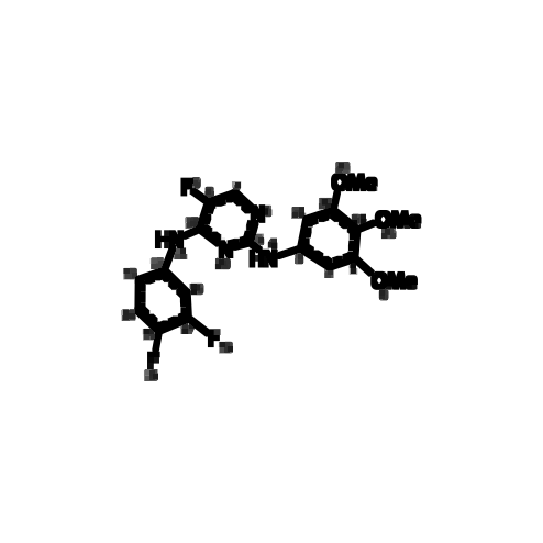 COc1cc(Nc2ncc(F)c(Nc3ccc(F)c(F)c3)n2)cc(OC)c1OC